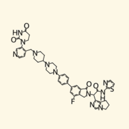 O=C1CCN(c2cnccc2CN2CCC(N3CCN(c4ccc(-c5cc(F)c6c(c5)C(=O)N(C(C(=O)Nc5nccs5)c5ncn7c5CCC7)C6)cc4)CC3)CC2)C(=O)N1